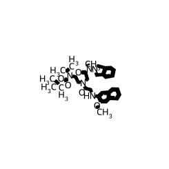 COc1cc2ccccc2cc1NCC(=O)N(CCN(C(=O)OC(C)(C)C)C(C)C)CC(=O)N(C)N1Cc2ccccc2C1